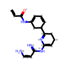 C=CC(=O)NC1=CC=CC(C2=NC(NC(=N)/C=C\N)=CCC2)C1